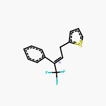 FC(F)(F)/C(=C/Cc1cccs1)c1ccccc1